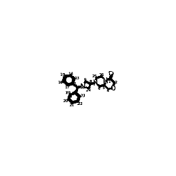 O=C1COCC2CN(C3CN(C(c4ccccc4)c4ccccc4)C3)CCN12